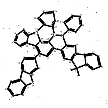 CC1(C)c2ccccc2-c2cc3c(cc21)-c1cc(-c2ccc4c(c2)sc2ccccc24)c2c4ccccc4n4c2c1B(c1ccccc1-4)N3c1ccccc1